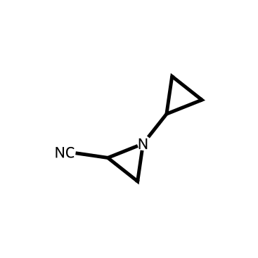 N#CC1CN1C1CC1